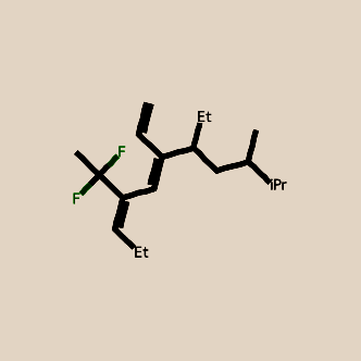 C=C/C(=C\C(=C/CC)C(C)(F)F)C(CC)CC(C)C(C)C